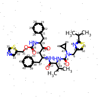 CC(C)c1nc(CN(C(=O)NC(C(=O)NC(CC(=O)C(Cc2ccccc2)NC(=O)OCc2cncs2)Cc2ccccc2)C(C)C)C2CC2)cs1